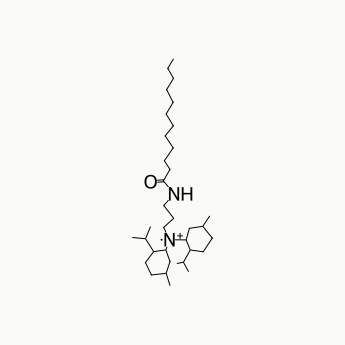 CCCCCCCCCCCC(=O)NCCC[N+](C1CC(C)CCC1C(C)C)C1CC(C)CCC1C(C)C